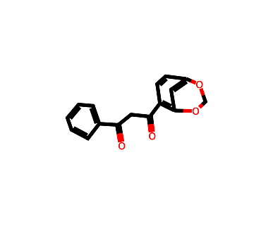 O=C(CC(=O)c1ccc2cc1OCO2)c1ccccc1